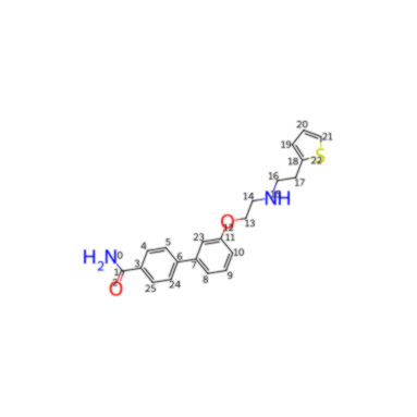 NC(=O)c1ccc(-c2cccc(OCCNCCc3cccs3)c2)cc1